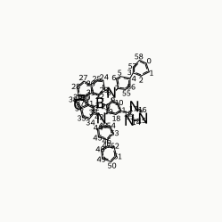 c1ccc(-c2ccc(N3c4cc(-c5ncncn5)cc5c4B(c4c3ccc3ccccc43)c3c(ccc4ccccc34)N5c3ccc(-c4ccccc4)cc3)cc2)cc1